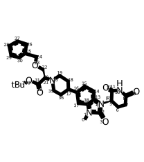 Cn1c(=O)n([C@@H]2CCC(=O)NC2=O)c2ccc(C3CCN([C@H](COCc4ccccc4)C(=O)OC(C)(C)C)CC3)cc21